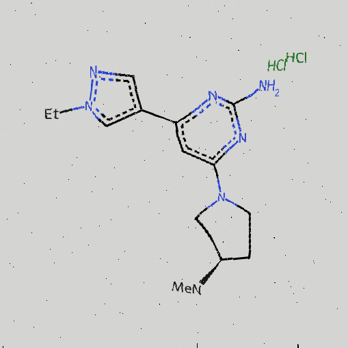 CCn1cc(-c2cc(N3CC[C@@H](NC)C3)nc(N)n2)cn1.Cl.Cl